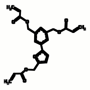 C=CC(=O)OCc1cc(COC(=O)C=C)cc(-c2ccc(COC(=O)C=C)o2)c1